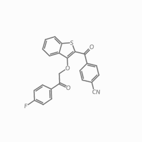 N#Cc1ccc(C(=O)c2sc3ccccc3c2OCC(=O)c2ccc(F)cc2)cc1